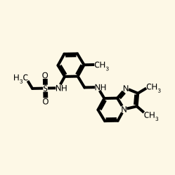 CCS(=O)(=O)Nc1cccc(C)c1CNc1cccn2c(C)c(C)nc12